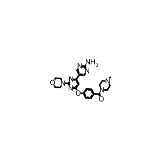 CN1CCN(C(=O)c2ccc(Oc3cc(-c4cnc(N)nc4)nc(N4CCOCC4)n3)cc2)CC1